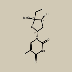 CO[C@]1(CI)O[C@@H](n2cc(F)c(=O)[nH]c2=O)C[C@@H]1O